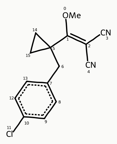 COC(=C(C#N)C#N)C1(Cc2ccc(Cl)cc2)CC1